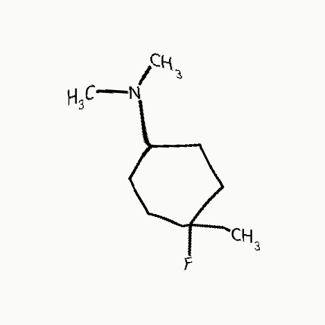 CN(C)C1CCC(C)(F)CC1